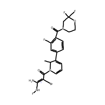 CC1C(c2ccc(C(=O)N3CCOC(F)(F)C3)c(F)c2)=CC=CN1C(=O)/C(Br)=C(\N)NF